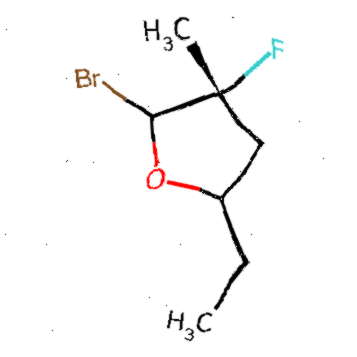 CCC1C[C@@](C)(F)C(Br)O1